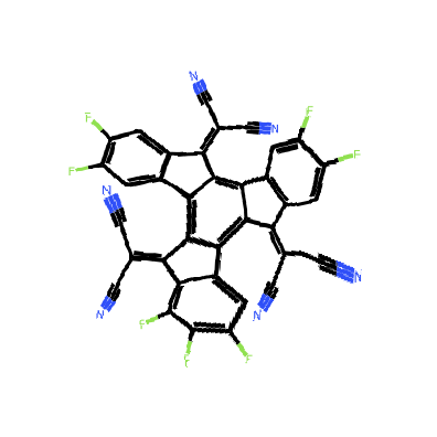 N#CC(C#N)=C1c2cc(F)c(F)cc2-c2c1c1c(c3c2C(=C(C#N)C#N)c2c-3cc(F)c(F)c2F)C(=C(C#N)C#N)c2cc(F)c(F)cc2-1